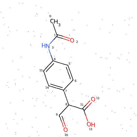 CC(=O)Nc1ccc(C([C]=O)C(=O)O)cc1